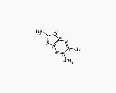 Cc1cc2[c]c(C)c(Cl)cc2o1